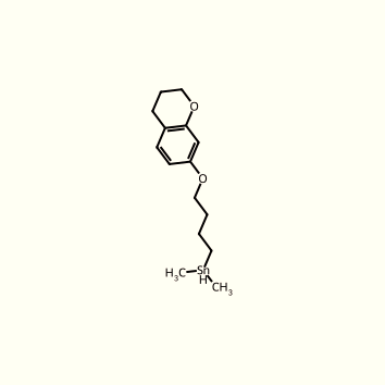 [CH3][SnH]([CH3])[CH2]CCCOc1ccc2c(c1)OCCC2